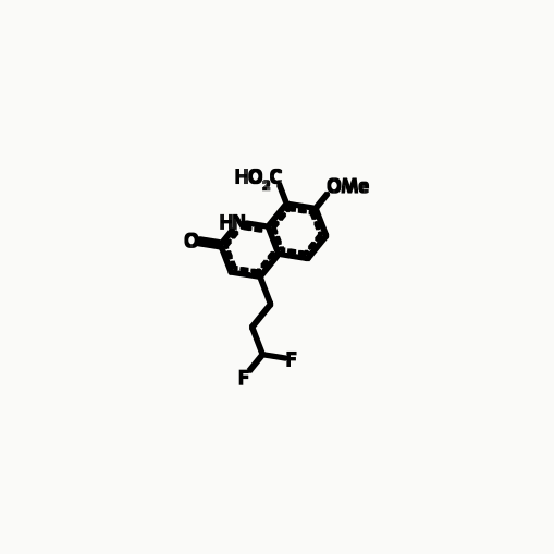 COc1ccc2c(CCC(F)F)cc(=O)[nH]c2c1C(=O)O